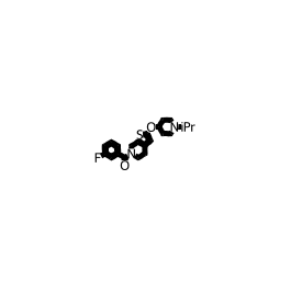 CC(C)N1CCC(Oc2cc3c(s2)CN(C(=O)c2cccc(F)c2)CC3)CC1